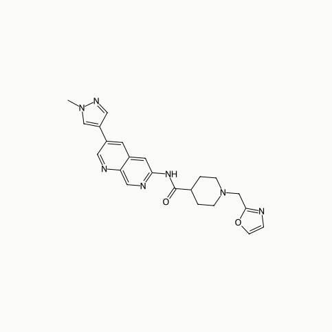 Cn1cc(-c2cnc3cnc(NC(=O)C4CCN(Cc5ncco5)CC4)cc3c2)cn1